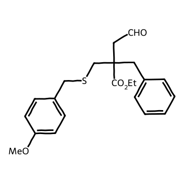 CCOC(=O)C(CC=O)(CSCc1ccc(OC)cc1)Cc1ccccc1